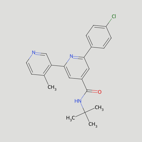 Cc1ccncc1-c1cc(C(=O)NC(C)(C)C)cc(-c2ccc(Cl)cc2)n1